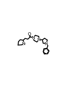 O=C(CCC1CCCC[N]1)N1CCN(C2CCN(Cc3ccccc3)C2)CC1